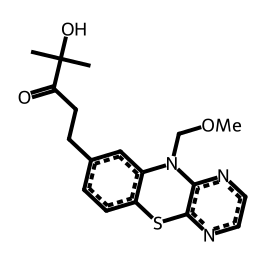 COCN1c2cc(CCC(=O)C(C)(C)O)ccc2Sc2nccnc21